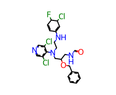 O=CNCC(CN(CCNC1=CC(Cl)C(F)C=C1)c1c(Cl)cncc1Cl)OCc1ccccc1